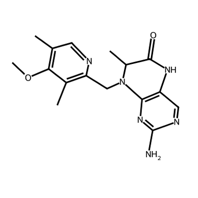 COc1c(C)cnc(CN2c3nc(N)ncc3NC(=O)C2C)c1C